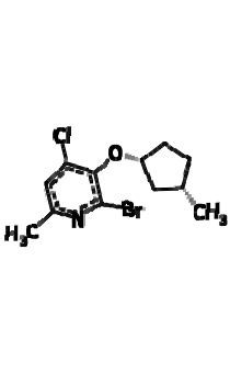 Cc1cc(Cl)c(O[C@@H]2CC[C@H](C)C2)c(Br)n1